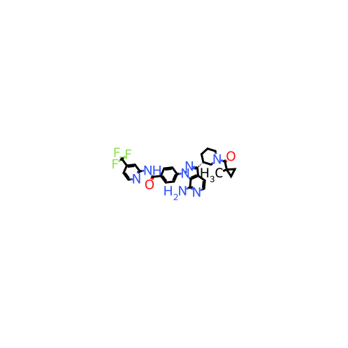 CC1(C(=O)N2CCC[C@@H](c3nn(-c4ccc(C(=O)Nc5cc(C(F)(F)F)ccn5)cc4)c4c(N)nccc34)C2)CC1